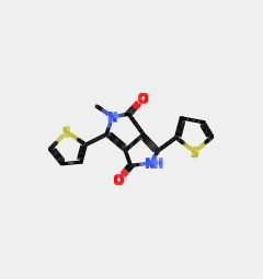 CN1C(=O)C2=C(c3cccs3)NC(=O)C2=C1c1cccs1